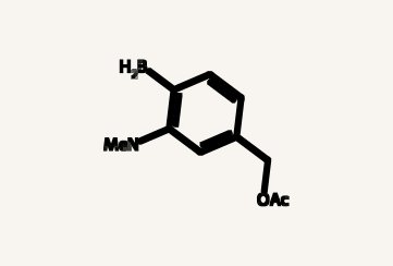 Bc1ccc(COC(C)=O)cc1NC